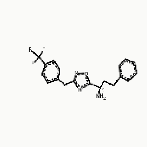 N[C@H](CCc1ccccc1)c1nc(Cc2ccc(C(F)(F)F)cc2)no1